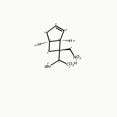 CC(C)(C)C(C(=O)O)[C@]1(C[N+](=O)[O-])C[C@H]2CC=C[C@H]21